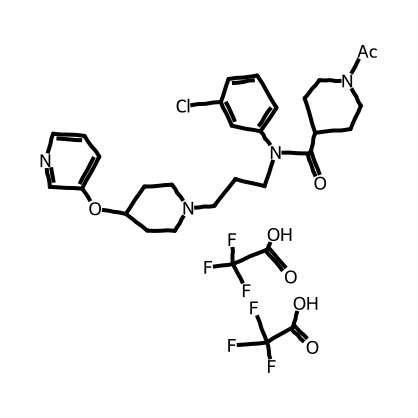 CC(=O)N1CCC(C(=O)N(CCCN2CCC(Oc3cccnc3)CC2)c2cccc(Cl)c2)CC1.O=C(O)C(F)(F)F.O=C(O)C(F)(F)F